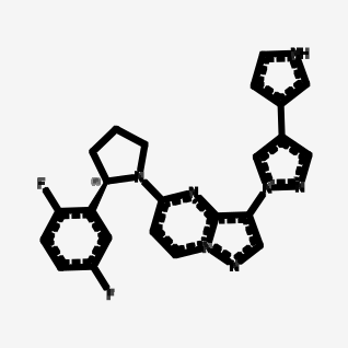 Fc1ccc(F)c([C@H]2CCCN2c2ccn3ncc(-n4cc(-c5cc[nH]c5)cn4)c3n2)c1